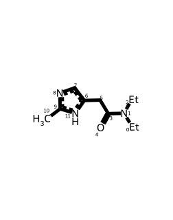 CCN(CC)C(=O)Cc1[c]nc(C)[nH]1